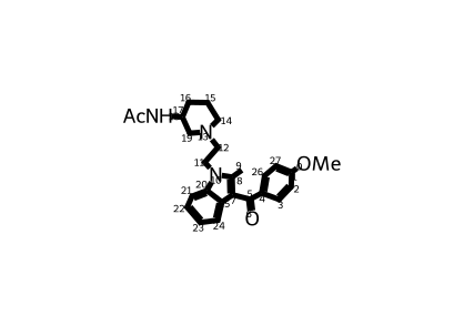 COc1ccc(C(=O)c2c(C)n(CCN3CCCC(NC(C)=O)C3)c3ccccc23)cc1